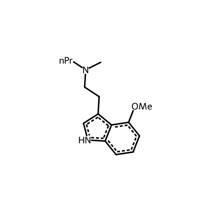 CCCN(C)CCc1c[nH]c2cccc(OC)c12